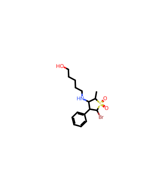 CC1C(NCCCCCO)C(c2ccccc2)C(Br)S1(=O)=O